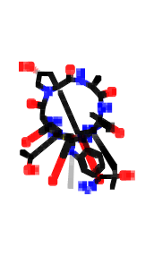 C[C@@H]1NC(=O)C2C[C@@H](O)CN2C(=O)C2CSC3=Nc4ccccc4C3C[C@H](NC1=O)C(=O)N[C@@H](CC(C)(O)CN)C(=O)N[C@H](C)C(=O)NC([C@H](C)O)C(=O)N2